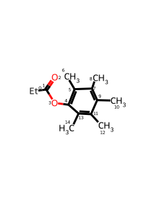 CCC(=O)Oc1c(C)c(C)c(C)c(C)c1C